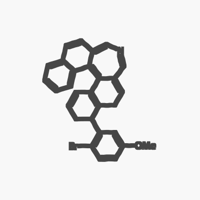 COc1ccc(Br)c(C2CC=CC3=C2CC=C2C=NC=c4ccc5ccccc5c4=C23)c1